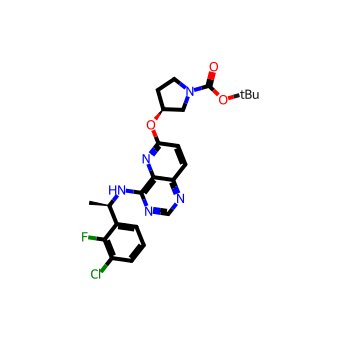 C[C@@H](Nc1ncnc2ccc(O[C@H]3CCN(C(=O)OC(C)(C)C)C3)nc12)c1cccc(Cl)c1F